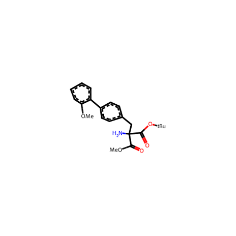 COC(=O)C(N)(Cc1ccc(-c2ccccc2OC)cc1)C(=O)OC(C)(C)C